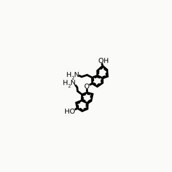 NCCc1c(Oc2ccc3ccc(O)cc3c2CCN)ccc2ccc(O)cc12